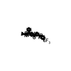 O=C(c1cc(-c2nc3cc(C(F)(F)F)ccc3o2)ccn1)N1CCN(C(c2ccccc2)c2nnc(C3CC3)o2)CC1